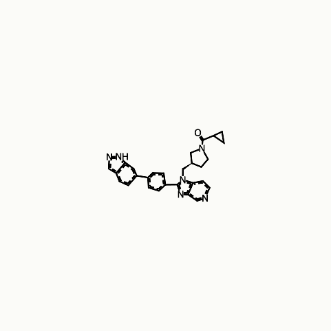 O=C(C1CC1)N1CC[C@@H](Cn2c(-c3ccc(-c4ccc5cn[nH]c5c4)cc3)nc3cnccc32)C1